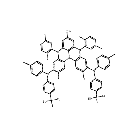 CCC(C)(CC)c1ccc(N(c2ccc(C)cc2)c2cc3c(cc2C)B2c4cc(C)c(N(c5ccc(C)cc5)c5ccc(C(C)(CC)CC)cc5)cc4N(c4cc(C)ccc4C)c4cc(C(C)(C)C)cc(c42)N3c2cc(C)ccc2C)cc1